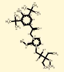 CCC(CC)(OC)C(F)(F)Cn1ccn(CC(=O)c2cc(C(C)(C)C)c(O)c(C(C)(C)C)c2)/c1=N\Br